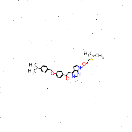 CC(C)SCCOCn1ccc2c(CC(=O)c3ccc(OCc4ccc(C(C)C)cc4)cc3)ncnc21